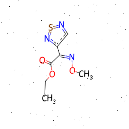 CCOC(=O)C(=NOC)c1cnsn1